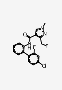 Cn1cc(C(=O)Nc2ccccc2-c2ccc(Cl)cc2F)c(CF)n1